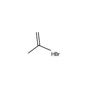 Br.C=C(C)C